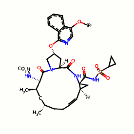 CC(C)Oc1cnc(O[C@@H]2C[C@H]3C(=O)N[C@]4(C(=O)NS(=O)(=O)C5CC5)C[C@H]4C=CCC[C@H](C)C[C@@H](C)[C@H](NC(=O)O)C(=O)N3C2)c2ccccc12